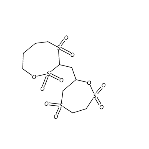 O=S1(=O)CCS(=O)(=O)OC(CC2S(=O)(=O)CCCCOS2(=O)=O)C1